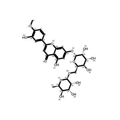 COc1ccc(-c2cc(=O)c3c(O)cc(O[C@H]4O[C@H](CO[C@@H]5O[C@H](C)[C@H](O)[C@@H](O)[C@H]5O)[C@H](O)[C@@H](O)[C@H]4O)cc3o2)cc1O